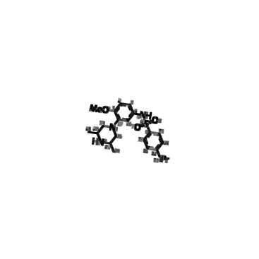 COc1ccc(NS(=O)(=O)c2ccc(C(C)C)cc2)cc1N1CC(C)NC(C)C1